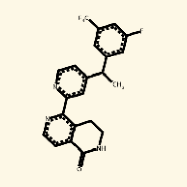 CC(c1cc(F)cc(C(F)(F)F)c1)c1ccnc(-c2nccc3c2CCNC3=O)c1